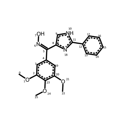 COc1cc(/C(=N/O)c2c[nH]c(-c3ccccc3)n2)cc(OC)c1OC